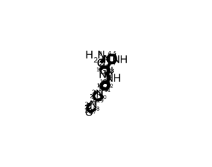 NC(=O)N1CCNCC1c1ccnc(Nc2ccc(N3CCC(N4CCOCC4)CC3)cc2)n1